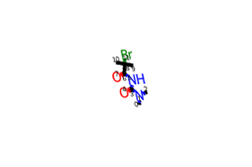 CN(C)C(=O)NC(=O)C(C)(C)Br